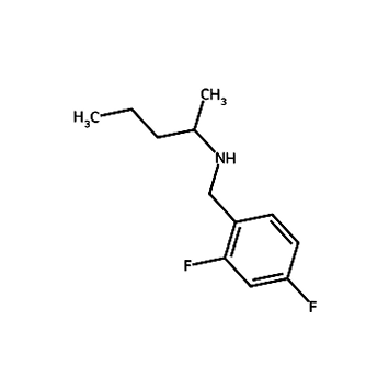 CCCC(C)NCc1ccc(F)cc1F